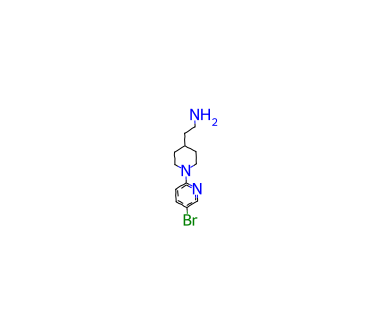 NCCC1CCN(c2ccc(Br)cn2)CC1